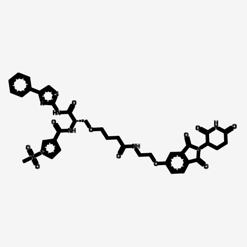 CS(=O)(=O)n1ccc(C(=O)N[C@@H](COCCCC(=O)NCCOc2ccc3c(c2)C(=O)N(C2CCC(=O)NC2=O)C3=O)C(=O)Nc2nc(-c3ccccc3)cs2)c1